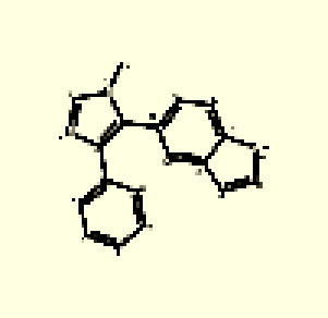 Cn1cnc(-c2ccccc2)c1-c1ccc2[nH]ccc2c1